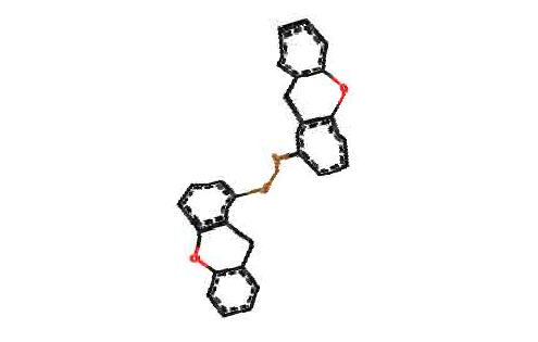 c1ccc2c(c1)Cc1c(cccc1SSc1cccc3c1Cc1ccccc1O3)O2